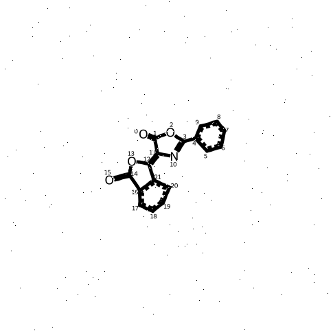 O=C1OC(c2ccccc2)=N/C1=C1/OC(=O)c2ccccc21